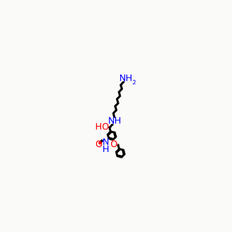 NCCCCCCCCCCCNC[C@H](O)c1ccc(OCc2ccccc2)c(NC=O)c1